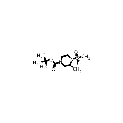 C[C@H]1CN(C(=O)OC(C)(C)C)CCN1S(C)(=O)=O